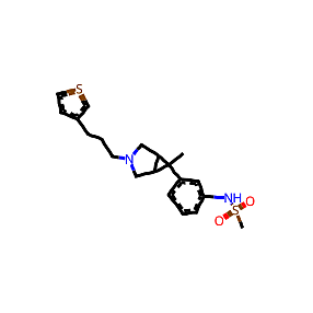 CC1(c2cccc(NS(C)(=O)=O)c2)C2CN(CCCc3ccsc3)CC21